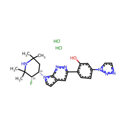 CC1(C)C[C@H](n2ccc3cc(-c4ccc(-n5ccnn5)cc4O)nnc32)[C@H](F)C(C)(C)N1.Cl.Cl